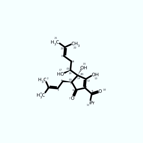 CC(C)=CC[C@@H]1C(=O)C(C(=O)C(C)C)=C(O)[C@]1(O)[C@@H](O)CC=C(C)C